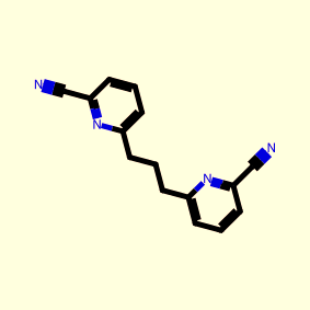 N#Cc1cccc(CCCc2cccc(C#N)n2)n1